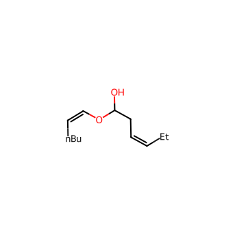 CC/C=C\CC(O)O/C=C\CCCC